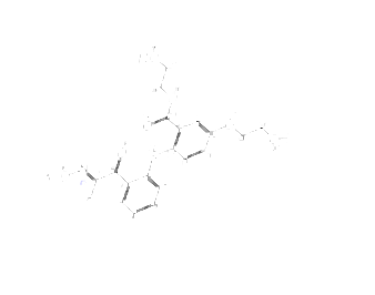 CC(=O)O/N=C(\C)C(=O)c1ccccc1Sc1ccc(OCCO)cc1C(=O)OCCO